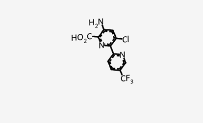 Nc1cc(Cl)c(-c2ccc(C(F)(F)F)cn2)nc1C(=O)O